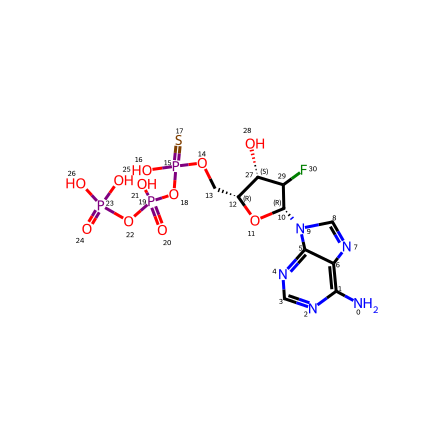 Nc1ncnc2c1ncn2[C@@H]1O[C@H](COP(O)(=S)OP(=O)(O)OP(=O)(O)O)[C@H](O)C1F